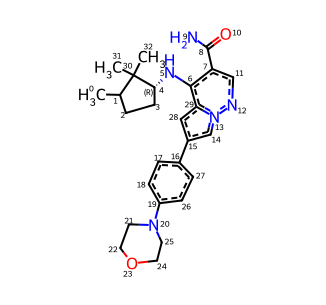 CC1CC[C@@H](Nc2c(C(N)=O)cnn3cc(-c4ccc(N5CCOCC5)cc4)cc23)C1(C)C